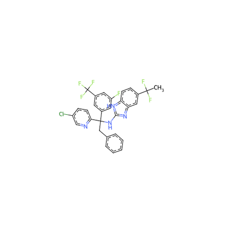 CC(F)(F)c1ccc2[nH]c(NC(Cc3ccccc3)(c3cc(F)cc(C(F)(F)F)c3)c3ccc(Cl)cn3)nc2c1